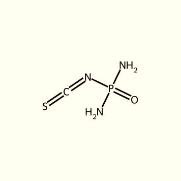 NP(N)(=O)N=C=S